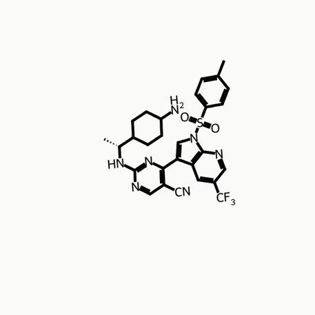 Cc1ccc(S(=O)(=O)n2cc(-c3nc(N[C@H](C)C4CCC(N)CC4)ncc3C#N)c3cc(C(F)(F)F)cnc32)cc1